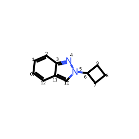 [c]1ccc2nn(C3CCC3)cc2c1